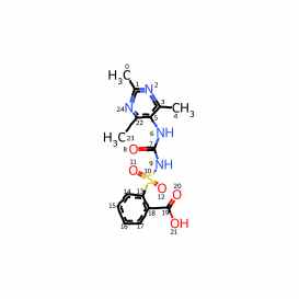 Cc1nc(C)c(NC(=O)NS(=O)(=O)c2ccccc2C(=O)O)c(C)n1